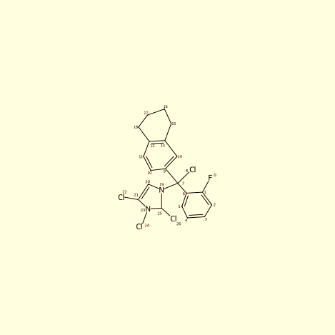 Fc1ccccc1C(Cl)(c1ccc2c(c1)CCCC2)N1C=C(Cl)N(Cl)C1Cl